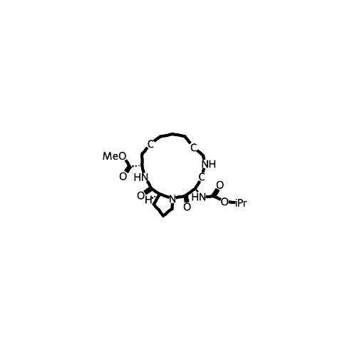 COC(=O)[C@@H]1CCCCCCCNC[C@H](NC(=O)OC(C)C)C(=O)N2CCC[C@H]2C(=O)N1